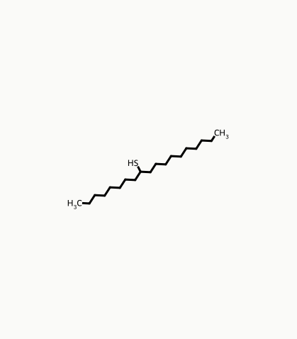 CCCCCCCCCCC(S)CCCCCCCC